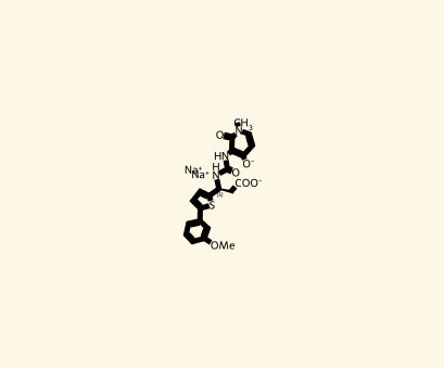 COc1cccc(-c2ccc([C@H](CC(=O)[O-])NC(=O)Nc3c([O-])ccn(C)c3=O)s2)c1.[Na+].[Na+]